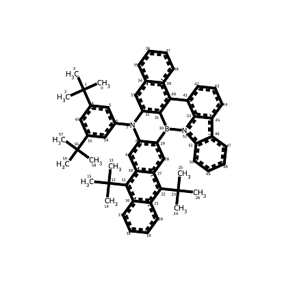 CC(C)(C)c1cc(N2c3cc4c(C(C)(C)C)c5ccccc5c(C(C)(C)C)c4cc3B3c4c2cc2ccccc2c4-c2cccc4c5ccccc5n3c24)cc(C(C)(C)C)c1